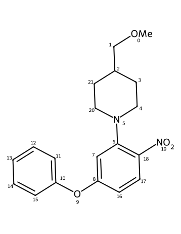 COCC1CCN(c2cc(Oc3ccccc3)ccc2[N+](=O)[O-])CC1